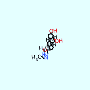 Cc1cnn(CC(=O)[C@H]2CC[C@H]3[C@@H]4CC[C@H]5C[C@H](O)CC[C@]5(CCO)[C@H]4CC[C@]23C)n1